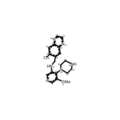 COc1cncc(NCc2cc3nccnc3cc2Cl)c1N1CCNCC1